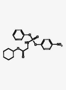 O=C(CNP(=O)(Oc1ccccc1)Oc1ccc([N+](=O)[O-])cc1)OC1CCCCC1